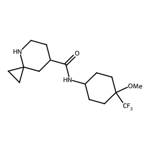 COC1(C(F)(F)F)CCC(NC(=O)C2CCNC3(CC3)C2)CC1